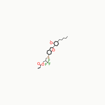 C=CC(=O)OCC(CSc1ccc2cc(-c3ccc(CCCCC)cc3OC)oc2c1)C(F)(F)F